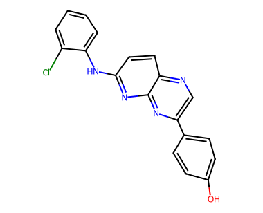 Oc1ccc(-c2cnc3ccc(Nc4ccccc4Cl)nc3n2)cc1